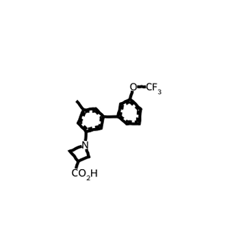 Cc1cc(-c2cccc(OC(F)(F)F)c2)cc(N2CC(C(=O)O)C2)c1